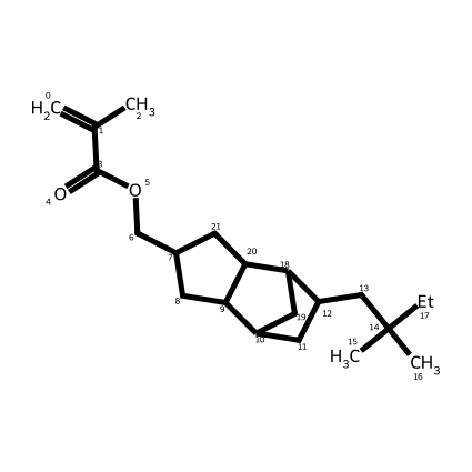 C=C(C)C(=O)OCC1CC2C3CC(CC(C)(C)CC)C(C3)C2C1